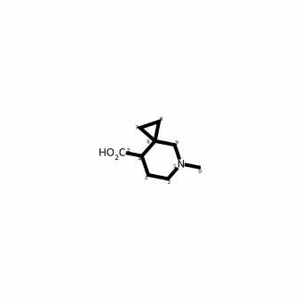 CN1CCC(C(=O)O)C2(CC2)C1